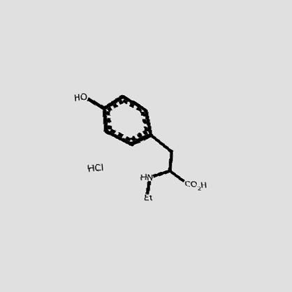 CCNC(Cc1ccc(O)cc1)C(=O)O.Cl